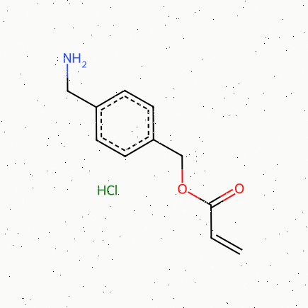 C=CC(=O)OCc1ccc(CN)cc1.Cl